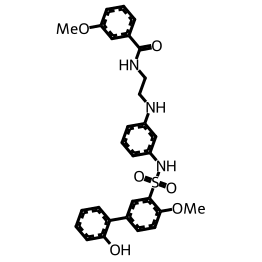 COc1cccc(C(=O)NCCNc2cccc(NS(=O)(=O)c3cc(-c4ccccc4O)ccc3OC)c2)c1